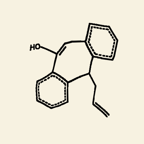 C=CCC1c2ccccc2C=C(O)c2ccccc21